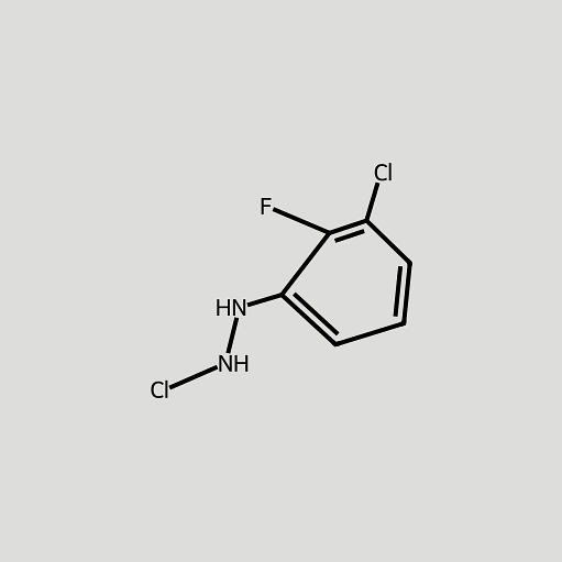 Fc1c(Cl)cccc1NNCl